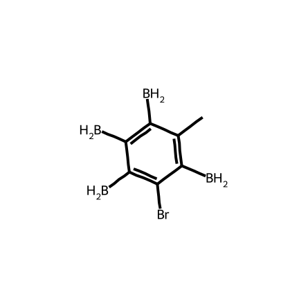 Bc1c(B)c(C)c(B)c(Br)c1B